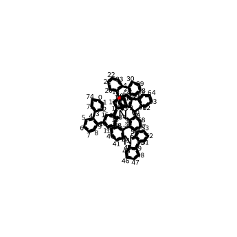 c1ccc(-c2ccccc2-c2ccc3c(c2)c2cc(-c4ccccc4-c4ccccc4)ccc2n3-c2c(-c3ccccc3-n3c4ccccc4c4ccccc43)cccc2C2c3ccccc3-c3ccccc32)cc1